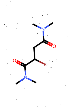 CN(C)C(=O)CC(Br)C(=O)N(C)C